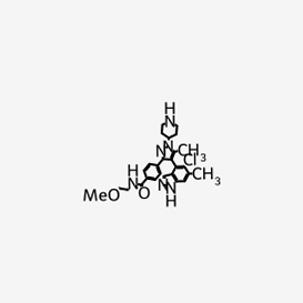 COCCNC(=O)c1ccc(-c2nn(C3CCNCC3)c(C)c2-c2c(Cl)c(C)cc3[nH]ncc23)cc1